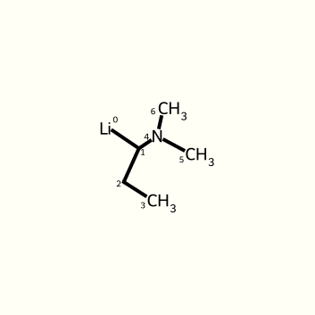 [Li][CH](CC)N(C)C